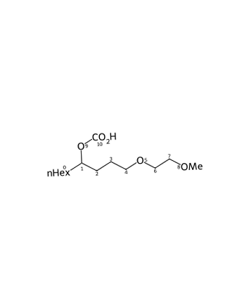 CCCCCCC(CCCOCCOC)OC(=O)O